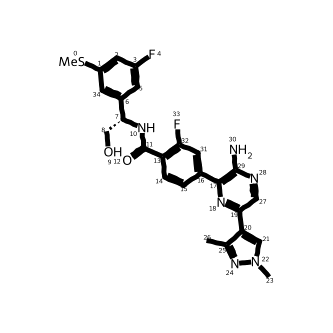 CSc1cc(F)cc([C@@H](CO)NC(=O)c2ccc(-c3nc(-c4cn(C)nc4C)cnc3N)cc2F)c1